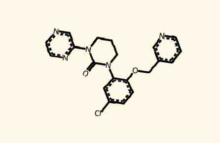 O=C1N(c2cnccn2)CCCN1c1cc(Cl)ccc1OCc1cccnc1